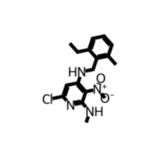 CCc1cccc(C)c1CNc1cc(Cl)nc(NC)c1[N+](=O)[O-]